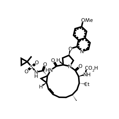 CC[C@@H]1C[C@H](C)CC/C=C\[C@@H]2C[C@@]2(C(=O)NS(=O)(=O)C2(C)CC2)NC(=O)[C@@H]2C[C@@H](Oc3nccc4cc(OC)ccc34)CN2C(=O)[C@H]1NC(=O)O